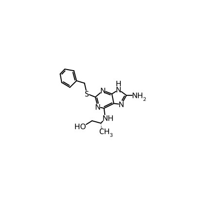 C[C@H](CO)Nc1nc(SCc2ccccc2)nc2[nH]c(N)nc12